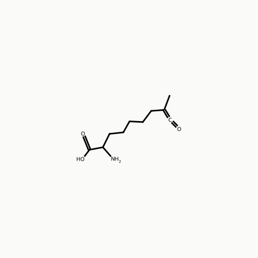 CC(=C=O)CCCCCC(N)C(=O)O